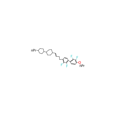 CCCOc1ccc(-c2ccc(CC/C=C/C3CCC(C4CCC(CCC)CC4)CC3)c(F)c2F)c(F)c1F